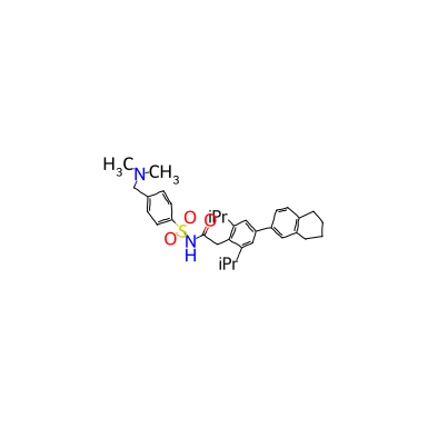 CC(C)c1cc(-c2ccc3c(c2)CCCC3)cc(C(C)C)c1CC(=O)NS(=O)(=O)c1ccc(CN(C)C)cc1